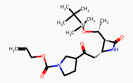 C=CCOC(=O)N1CCC(C(=O)C[C@H]2NC(=O)[C@@H]2[C@@H](C)O[Si](C)(C)C(C)(C)C)C1